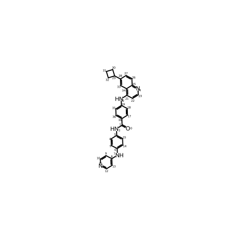 O=C(Nc1ccc(Nc2ccncc2)cc1)c1ccc(Nc2ccnc3ccc(C4CCC4)cc23)cc1